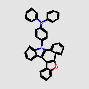 c1ccc(N(c2ccccc2)c2ccc(-n3c4ccccc4c4c5c6ccccc6oc5c5ccccc5c43)cc2)cc1